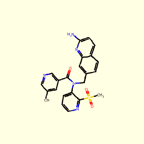 CS(=O)(=O)c1ncccc1N(Cc1ccc2ccc(N)nc2c1)C(=O)c1cncc(C#N)c1